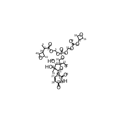 CC(C(=O)OCOP(=O)(OCOC(=O)OC1COC1)OC[C@@]1(CF)O[C@@H](n2ccc(=O)[nH]c2=O)[C@](C)(O)[C@@H]1O)C1COC1